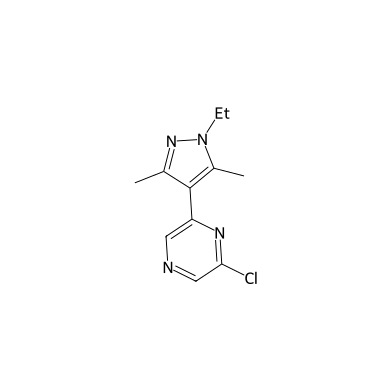 CCn1nc(C)c(-c2cncc(Cl)n2)c1C